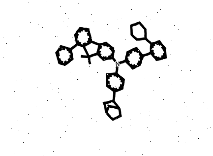 CC1(C)c2cc(N(c3ccc(-c4ccccc4C4CCCCC4)cc3)c3ccc(C4CC5CCC4C5)cc3)ccc2-c2cccc(-c3ccccc3)c21